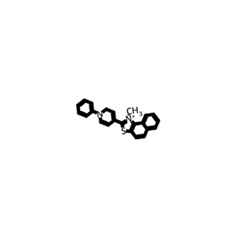 C[n+]1c(C2=CCN(c3ccccc3)C=C2)sc2ccc3ccccc3c21